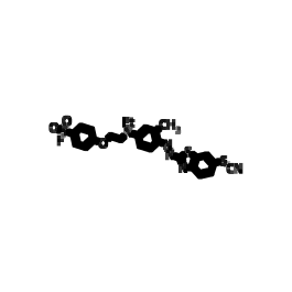 CCN(CCOc1ccc(S(=O)(=O)F)cc1)c1ccc(N=Nc2nc3ccc(SC#N)cc3s2)c(C)c1